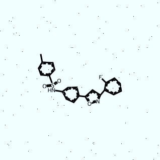 Cc1ccc(S(=O)(=O)Nc2ccc(-c3cc(-c4ccccc4F)no3)cc2)cc1